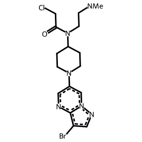 CNCCN(C(=O)CCl)C1CCN(c2cnc3c(Br)cnn3c2)CC1